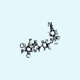 Cc1cc(C2=NOC(c3cc(Cl)c(F)c(Cl)c3)(C(F)(F)F)C2)ccc1CN=S(C)(=O)c1ccc(C#N)cc1